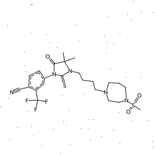 CC1(C)C(=O)N(c2ccc(C#N)c(C(F)(F)F)c2)C(=S)N1CCCCN1CCCN(S(C)(=O)=O)CC1